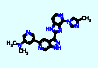 Cc1cn(-c2nccc3[nH]c(-c4n[nH]c5cnc(-c6cncc(N(C)C)c6)cc45)nc23)cn1